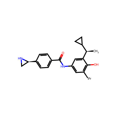 CC(C)c1cc(NC(=O)c2ccc([C@H]3CN3)cc2)cc([C@H](C)C2CC2)c1O